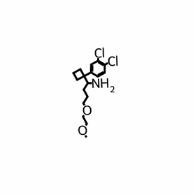 COCCOCCCC(N)C1(c2ccc(Cl)c(Cl)c2)CCC1